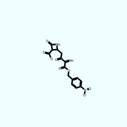 N=C(C(=O)CC1NC(=O)C1C(=O)Cl)C(=O)OCc1ccc([N+](=O)[O-])cc1